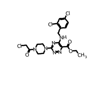 CCOC(=O)c1nnc(N2CCN(C(=O)CCl)CC2)nc1NCc1ccc(Cl)cc1Cl